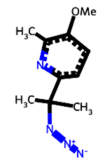 COc1ccc(C(C)(C)N=[N+]=[N-])nc1C